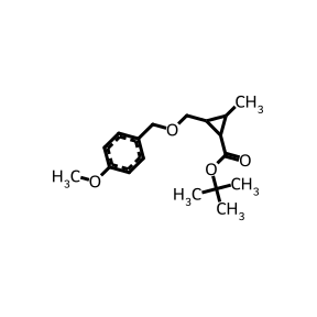 COc1ccc(COCC2C(C)C2C(=O)OC(C)(C)C)cc1